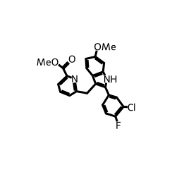 COC(=O)c1cccc(Cc2c(-c3ccc(F)c(Cl)c3)[nH]c3cc(OC)ccc23)n1